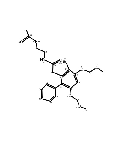 COCOc1cc(OCOC)c(-c2ccccc2)c(CC(=O)NCCNC(C)=O)c1Br